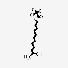 CC(C)CCCCCCCCCCOC(=O)C(Cl)(Cl)Cl